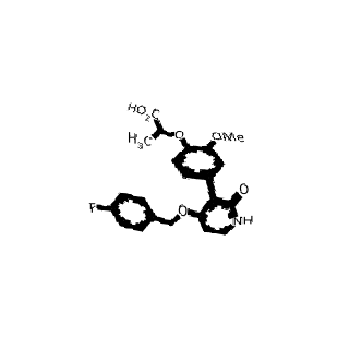 COc1cc(-c2c(OCc3ccc(F)cc3)cc[nH]c2=O)ccc1OC(C)C(=O)O